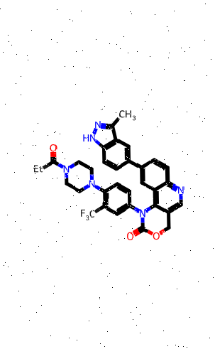 CCC(=O)N1CCN(c2ccc(N3C(=O)OCc4cnc5ccc(-c6ccc7[nH]nc(C)c7c6)cc5c43)cc2C(F)(F)F)CC1